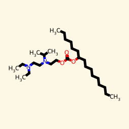 CCCCCCCCCC(CCCCCC)OC(=O)OCCN(CCN(CC)CC)C(C)C